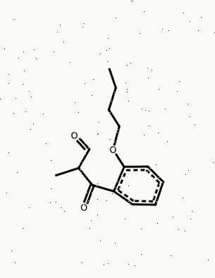 CCCCOc1ccccc1C(=O)C(C)C=O